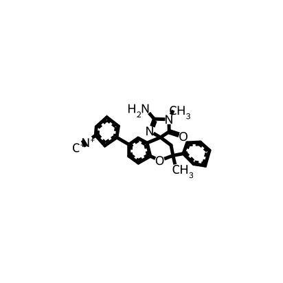 [C-]#[N+]c1cccc(-c2ccc3c(c2)C2(CC(C)(c4ccccc4)O3)N=C(N)N(C)C2=O)c1